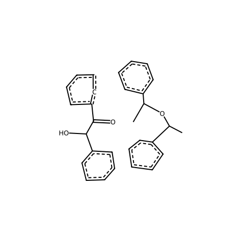 CC(OC(C)c1ccccc1)c1ccccc1.O=C(c1ccccc1)C(O)c1ccccc1